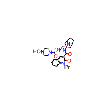 CC(C)n1c(=O)c(C(=O)NC2CC3CCC(C2)N3CCCOC(=O)N2CCN(O)CC2)cc2ccccc21